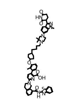 Cc1c(OC2CCC(CCCCN3CCN(c4ccc5c(C6CCC(=O)NC6=O)nn(C)c5c4)CC3(C)C)CC2)cccc1-c1ccc(N2CCc3cccc(C(=O)Nc4nc5ccccc5s4)c3C2)nc1C(=O)O